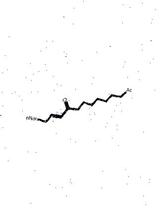 CCCCCCCCCC/C=C/C(=O)CCCCCCCC(C)=O